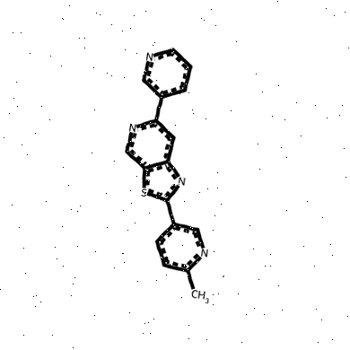 Cc1ccc(-c2nc3cc(-c4cccnc4)ncc3s2)cn1